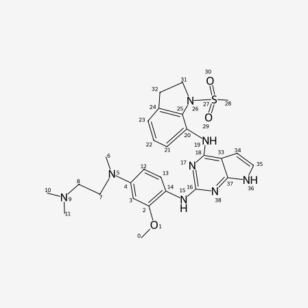 COc1cc(N(C)CCN(C)C)ccc1Nc1nc(Nc2cccc3c2N(S(C)(=O)=O)CC3)c2cc[nH]c2n1